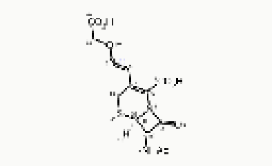 CC(=O)N[C@@H]1C(=O)N2C(C(=O)O)=C(/C=N/OCC(=O)O)CS[C@H]12